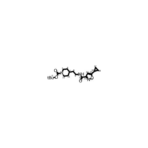 CC(C)(C)OC(=O)N1CCC(CCNC(=O)c2cc(C3CC3)on2)CC1